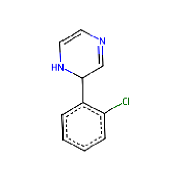 Clc1ccccc1C1C=NC=CN1